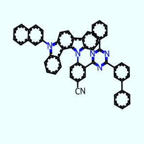 N#Cc1ccc(-n2c3ccccc3c3ccc4c(c5ccccc5n4-c4ccc5ccccc5c4)c32)c(-c2nc(-c3ccccc3)nc(-c3cccc(-c4ccccc4)c3)n2)c1